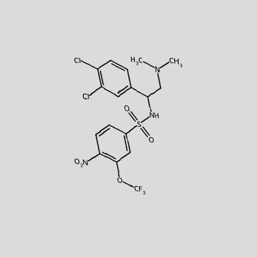 CN(C)CC(NS(=O)(=O)c1ccc([N+](=O)[O-])c(OC(F)(F)F)c1)c1ccc(Cl)c(Cl)c1